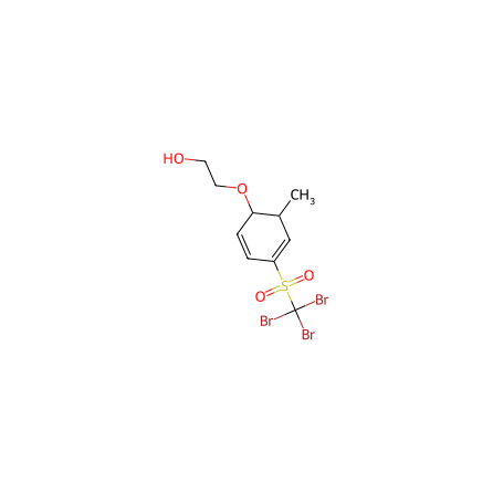 CC1C=C(S(=O)(=O)C(Br)(Br)Br)C=CC1OCCO